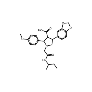 CCC(C)NC(=O)CN1CC(c2ccc3c(c2)OCO3)C(C(=O)O)C1c1ccc(OC)cc1